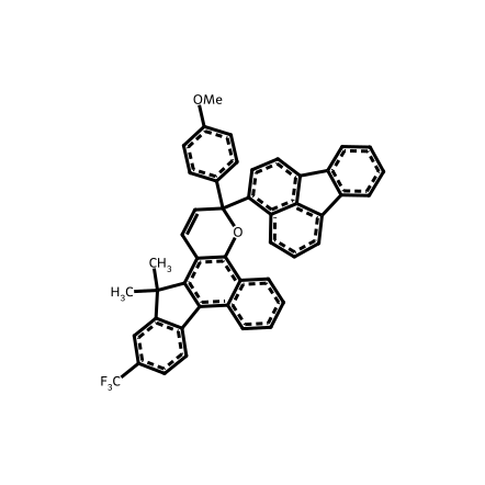 COc1ccc(C2(c3ccc4c5c(cccc35)-c3ccccc3-4)C=Cc3c4c(c5ccccc5c3O2)-c2ccc(C(F)(F)F)cc2C4(C)C)cc1